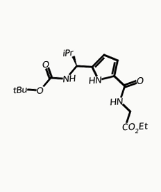 CCOC(=O)CNC(=O)c1ccc([C@@H](NC(=O)OC(C)(C)C)C(C)C)[nH]1